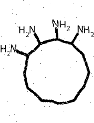 NC1CCCCCCCCC(N)C(N)C1N